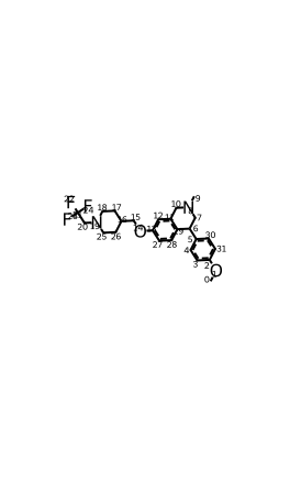 COc1ccc(C2CN(C)Cc3cc(OCC4CCN(CC(F)(F)F)CC4)ccc32)cc1